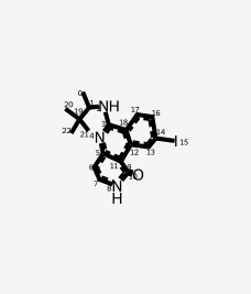 CC(Nc1nc2cc[nH]c(=O)c2c2cc(I)ccc12)C(C)(C)C